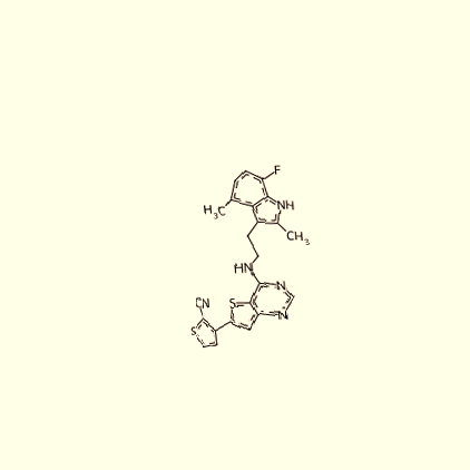 Cc1[nH]c2c(F)ccc(C)c2c1CCNc1ncnc2cc(-c3ccsc3C#N)sc12